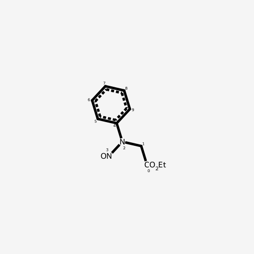 CCOC(=O)CN(N=O)c1ccccc1